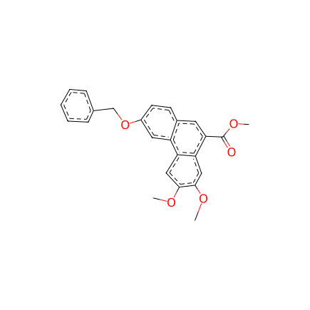 COC(=O)c1cc2ccc(OCc3ccccc3)cc2c2cc(OC)c(OC)cc12